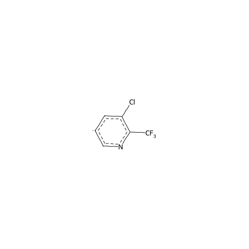 FC(F)(F)c1nc[c]cc1Cl